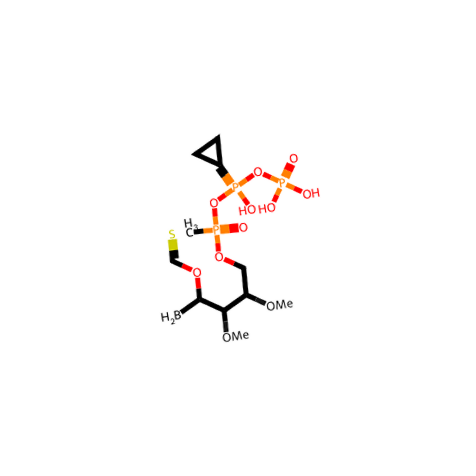 BC(OC=S)C(OC)C(COP(C)(=O)OP(O)(OP(=O)(O)O)=C1CC1)OC